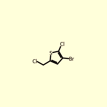 ClCc1cc(Br)c(Cl)s1